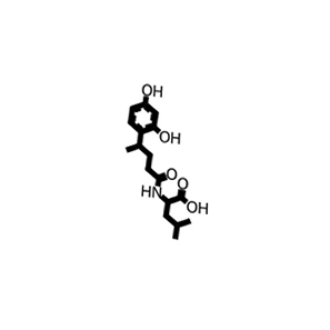 CC(C)CC(NC(=O)CCC(C)c1ccc(O)cc1O)C(=O)O